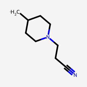 [CH2]C1CCN(CCC#N)CC1